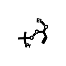 C=CC(OCC)OOC(C)(C)C(C)C